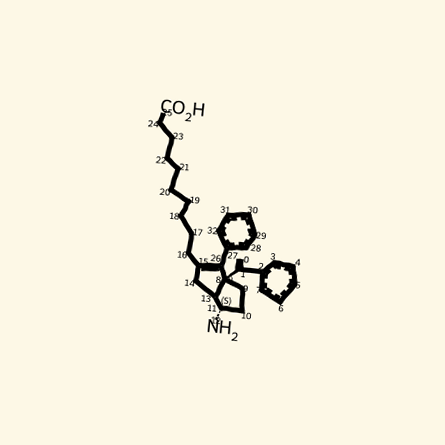 C=C(c1ccccc1)[C@@]12CC[C@H](N)C1CC(CCCCCCCCCC(=O)O)=C2c1ccccc1